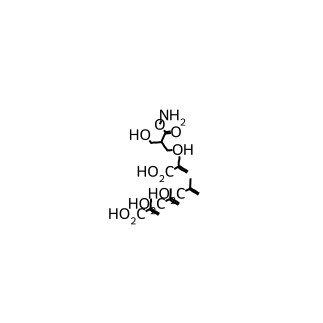 C=C(C)C(=O)O.C=C(C)C(=O)O.C=C(C)C(=O)O.C=C(C)C(=O)O.NOC(=O)C(CO)CO